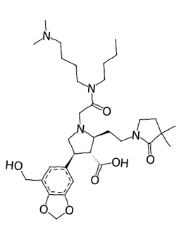 CCCCN(CCCCN(C)C)C(=O)CN1C[C@H](c2cc(CO)c3c(c2)OCO3)[C@@H](C(=O)O)[C@@H]1CCN1CCC(C)(C)C1=O